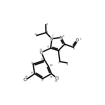 CCc1c(C=O)nn(C(C)C)c1Oc1cc(Cl)cc(Cl)c1